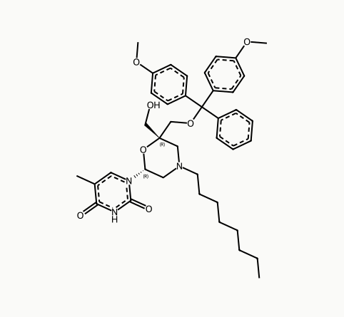 CCCCCCCCN1C[C@H](n2cc(C)c(=O)[nH]c2=O)O[C@](CO)(COC(c2ccccc2)(c2ccc(OC)cc2)c2ccc(OC)cc2)C1